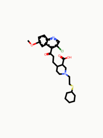 COc1ccc2ncc(Cl)c(C(=O)CCC3CCN(CCSC4CCCCC4)CC3C(=O)O)c2c1